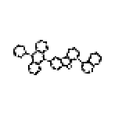 c1ccc(-c2c3ccccc3c(-c3ccc4oc5c(-c6cccc7ccccc67)cccc5c4c3)c3ccccc23)cc1